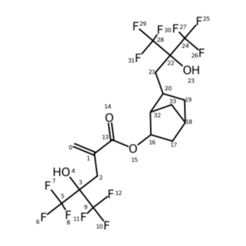 C=C(CC(O)(C(F)(F)F)C(F)(F)F)C(=O)OC1CC2CC(CC(O)(C(F)(F)F)C(F)(F)F)C1C2